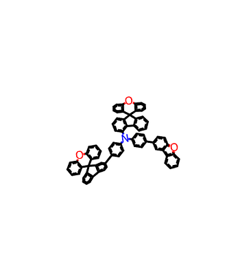 c1ccc2c(c1)Oc1ccccc1C21c2ccccc2-c2ccc(-c3ccc(N(c4ccc(-c5ccc6oc7ccccc7c6c5)cc4)c4cccc5c4-c4ccccc4C54c5ccccc5Oc5ccccc54)cc3)cc21